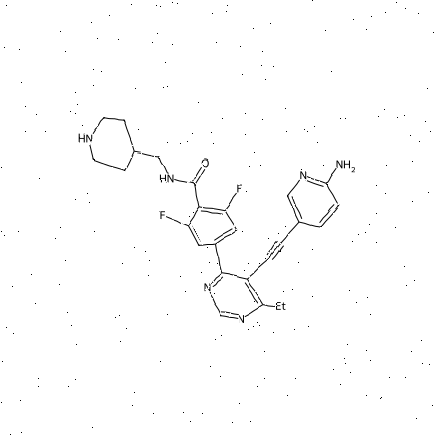 CCc1ncnc(-c2cc(F)c(C(=O)NCC3CCNCC3)c(F)c2)c1C#Cc1ccc(N)nc1